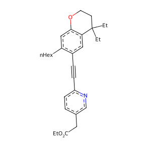 CCCCCCc1cc2c(cc1C#Cc1ccc(CC(=O)OCC)cn1)C(CC)(CC)CCO2